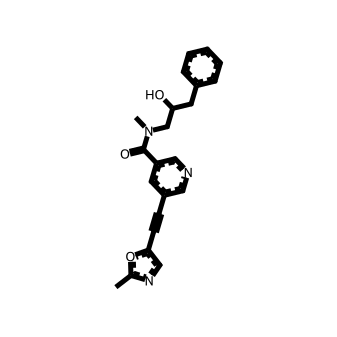 Cc1ncc(C#Cc2cncc(C(=O)N(C)CC(O)Cc3ccccc3)c2)o1